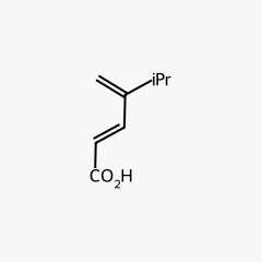 C=C(C=CC(=O)O)C(C)C